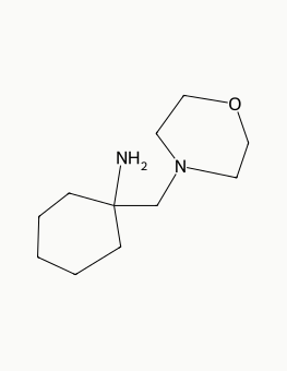 NC1(CN2CCOCC2)CCCCC1